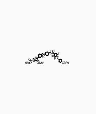 COc1ccc(COc2c(F)cc(C(=O)NCC3CCC(n4cc5ccc(-c6nc7c(c(OC)n6)CN(C(=O)OC(C)(C)C)C7)cc5n4)CC3)c(F)c2F)cc1